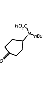 CCCCN(C(=O)O)C1CCC(=O)CC1